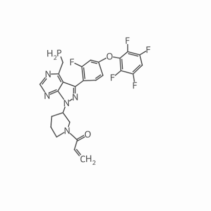 C=CC(=O)N1CCCC(n2nc(-c3ccc(Oc4c(F)c(F)cc(F)c4F)cc3F)c3c(CP)ncnc32)C1